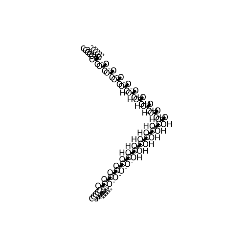 O=C(O)O.O=C(O)O.O=C(O)O.O=C(O)O.O=C(O)O.O=C(O)O.O=C(O)O.O=C(O)O.O=C(O)O.O=C(O)O.O=C([O-])[O-].O=C([O-])[O-].O=C([O-])[O-].O=C([O-])[O-].O=C([O-])[O-].O=C([O-])[O-].O=C([O-])[O-].O=C([O-])[O-].O=C([O-])[O-].O=C([O-])[O-].[Ca+2].[Ca+2].[Ca+2].[Ca+2].[Ca+2].[Ca+2].[Ca+2].[Ca+2].[Ca+2].[Ca+2]